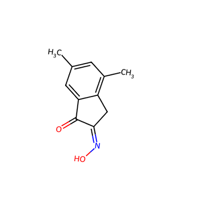 Cc1cc(C)c2c(c1)C(=O)/C(=N\O)C2